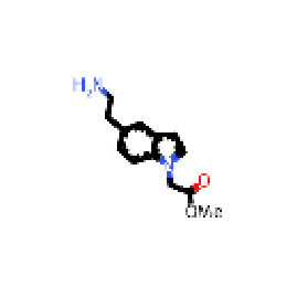 COC(=O)Cn1ccc2cc(CCN)ccc21